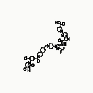 O=C1CCN(c2cc(C(=O)N3CCC4(CCC(CN5CCC(n6cc(NC(=O)c7cnn8ccc(N9CCC[C@H](C(=O)O)C9)nc78)c(C(F)F)n6)CC5)CC4)CC3)ccc2Cl)C(=O)N1